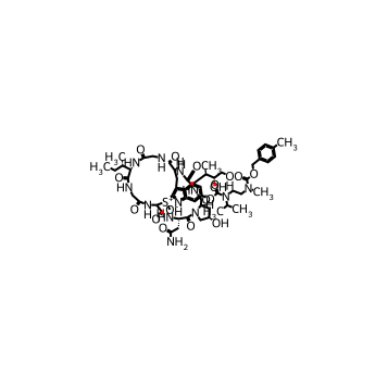 CC[C@H](C)[C@@H]1NC(=O)CNC(=O)[C@H]2Cc3c([nH]c4cc(OC(=O)N(CCN(C)C(=O)OCc5ccc(C)cc5)C(C)C)ccc34)[S+]([O-])[C@H](NC(=O)CNC1=O)C(=O)N[C@@H](CC(N)=O)C(=O)N1C[C@H](O)C[C@H]1C(=O)N[C@@H]([C@@H](C)[C@@H](O)CO)C(=O)N2